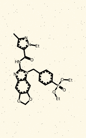 CCOP(=O)(OCC)c1ccc(Cn2c(NC(=O)c3cc(C)nn3CC)nc3cc4c(cc32)OCO4)cc1